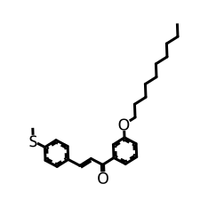 CCCCCCCCCCOc1cccc(C(=O)C=Cc2ccc(SC)cc2)c1